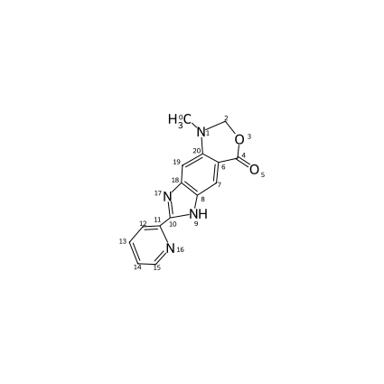 CN1COC(=O)c2cc3[nH]c(-c4ccccn4)nc3cc21